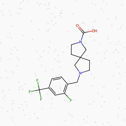 O=C(O)N1CCC2(CCN(Cc3ccc(C(F)(F)F)cc3F)C2)C1